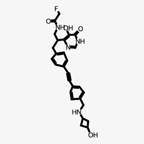 O=C(CF)NCC(Cc1ccc(C#Cc2ccc(CNC3CC(O)C3)cc2)cc1)c1nc[nH]c(=O)c1O